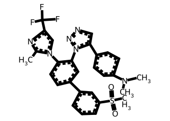 Cc1nc(C(F)(F)F)cn1-c1ccc(-c2cccc(S(C)(=O)=O)c2)cc1-n1nncc1-c1ccc(N(C)C)cc1